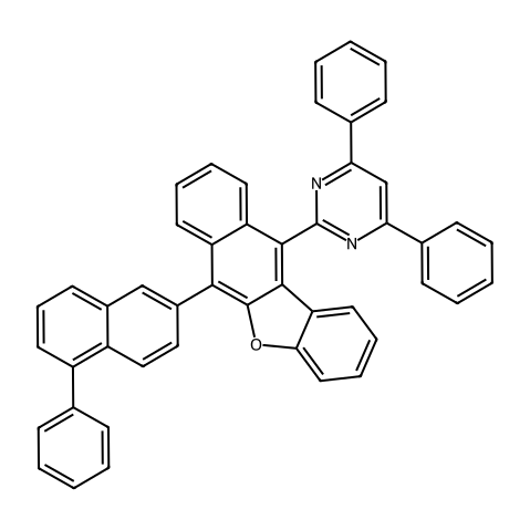 c1ccc(-c2cc(-c3ccccc3)nc(-c3c4ccccc4c(-c4ccc5c(-c6ccccc6)cccc5c4)c4oc5ccccc5c34)n2)cc1